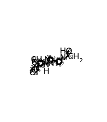 C=C(C=O)CNc1cccc(-c2ccnc(Nc3ccc(OC)c(N4CCOCC4)c3)n2)c1